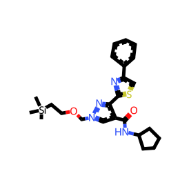 C[Si](C)(C)CCOCn1cc(C(=O)NC2CCCC2)c(-c2nc(-c3ccccc3)cs2)n1